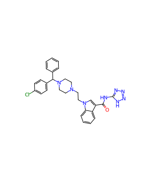 O=C(Nc1nnn[nH]1)c1cn(CCN2CCN(C(c3ccccc3)c3ccc(Cl)cc3)CC2)c2ccccc12